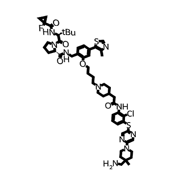 Cc1ncsc1-c1ccc(CNC(=O)[C@@H]2CCCN2C(=O)[C@@H](NC(=O)C2(F)CC2)C(C)(C)C)c(OCCCCN2CCC(CC(=O)Nc3cccc(Sc4cnc(N5CCC(C)(CN)CC5)cn4)c3Cl)CC2)c1